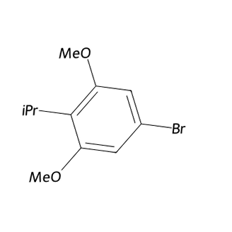 COc1cc(Br)cc(OC)c1C(C)C